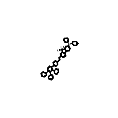 CCC1(CC)c2cc(/C=C/c3ccc(-c4ccc(-c5ccccc5)c(-c5ccccc5)c4-c4ccccc4)cc3)ccc2-c2ccc(N(c3ccccc3)c3ccccc3)cc21